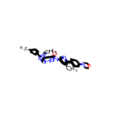 Cc1cc(NC(=O)c2cnc(-c3ccc(C(F)(F)F)cc3)n2C)cnc1C1=CCC(N2CCOCC2)CC1